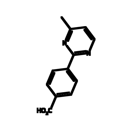 Cc1ccnc(-c2ccc(C(=O)O)cc2)n1